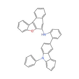 c1ccc(-n2c3ccccc3c3cc(-c4ccccc4Nc4cc5ccccc5c5c4oc4ccccc45)ccc32)cc1